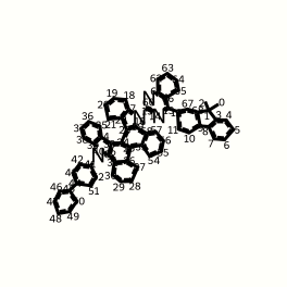 CC1(C)c2ccccc2-c2ccc(-c3nc(-n4c5ccccc5c5c6c(c7ccccc7c7c6c6ccccc6n7-c6ccc(-c7ccccc7)cc6)c6ccccc6c54)nc4ccccc34)cc21